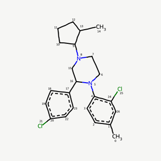 Cc1ccc(N2CCN(C3CCCC3C)CC2c2ccc(Cl)cc2)c(Cl)c1